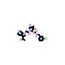 CC(=O)c1cn(CC(=O)N2C[C@H]3C[C@H]3[C@@H]2OC(=O)NCc2cccc(Cl)c2F)c2cnccc12